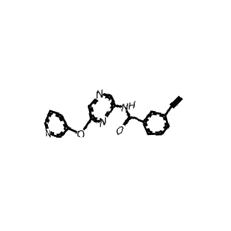 C#Cc1cccc(C(=O)Nc2cncc(Oc3cccnc3)n2)c1